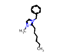 CCCCCCc1n(Cc2ccccc2)cc[n+]1C